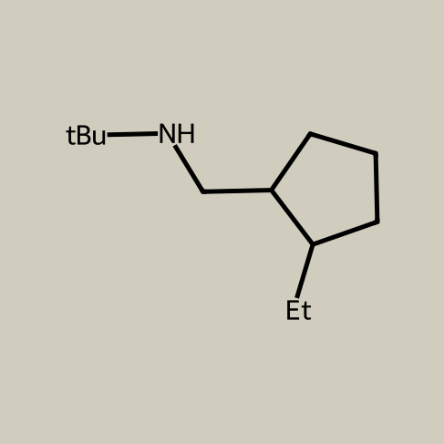 CCC1CCCC1CNC(C)(C)C